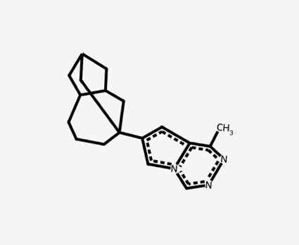 Cc1nncn2cc(C34CCCC5CC(CC5C3)C4)cc12